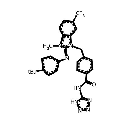 Cn1c(=Nc2ccc(C(C)(C)C)cc2)n(Cc2ccc(C(=O)Nc3nnn[nH]3)cc2)c2cc(C(F)(F)F)ccc21